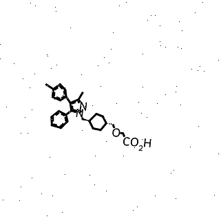 Cc1ccc(-c2c(C)nn(C[C@H]3CC[C@H](COCC(=O)O)CC3)c2-c2ccccc2)cc1